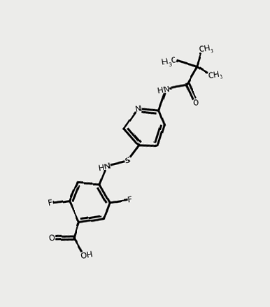 CC(C)(C)C(=O)Nc1ccc(SNc2cc(F)c(C(=O)O)cc2F)cn1